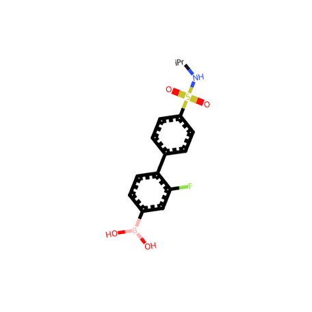 CC(C)NS(=O)(=O)c1ccc(-c2ccc(B(O)O)cc2F)cc1